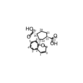 C1=Cc2ccccc2OC1.O=C(O)[C@H]1CC[C@H](C(=O)O)CC1